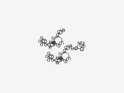 CC[C@H]1CCC[C@H](O[C@H]2CC[C@H](N(C)C)[C@@H](C)O2)[C@@H](C)C(=O)C2=C[C@@H]3[C@@H](C=C(C)[C@@H]4C[C@@H](O[C@@H]5O[C@@H](C)[C@H](OC)[C@@H](OC)[C@H]5OC)C[C@@H]34)[C@@H]2CC(=O)O1.CC[C@H]1CCC[C@H](O[C@H]2CC[C@H](N(C)C)[C@@H](C)O2)[C@@H](C)C(=O)C2=C[C@@H]3[C@@H](C=C[C@@H]4C[C@@H](O[C@@H]5O[C@@H](C)[C@H](OC)[C@@H](OC)[C@H]5OC)C[C@@H]34)[C@@H]2CC(=O)O1.N#Cc1c[nH]cc1-c1cccc2c1OC(F)(F)O2